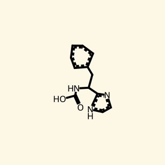 O=C(O)NC(Cc1ccccc1)c1ncc[nH]1